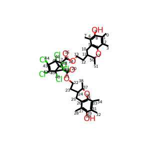 Cc1c(C)c2c(c(C)c1O)CC(CCOC(=O)C1C(C(=O)OCCC3Cc4c(C)c(O)c(C)c(C)c4OC3C)C3(Cl)C(Cl)=C(Cl)C1(Cl)C3(Cl)Cl)C(C)O2